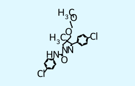 COCCOCC1(C)CN(C(=O)Nc2ccc(Cl)cc2)N=C1c1ccc(Cl)cc1